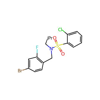 CC(C)CN(Cc1ccc(Br)cc1F)S(=O)(=O)c1ccccc1Cl